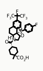 C[C@]1(C(=O)O)CC[C@H](C(=O)N2CC[C@]3(S(=O)(=O)c4ccc(F)cc4)c4ccc(C(F)(C(F)(F)F)C(F)(F)F)cc4CC[C@H]23)CC1